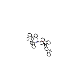 CCC1c2oc3ccccc3c2/C=C(/c2ccc(N(c3ccc4c(c3)C(C)(C)c3ccccc3-4)c3ccccc3-c3ccccc3)cc2)Cc2ccccc2N1c1ccccc1